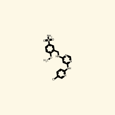 COc1ccc(S(N)(=O)=O)cc1CNc1cc(Nc2ccc(Cl)cn2)ncn1